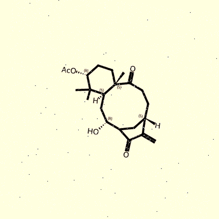 C=C1C(=O)C2C[C@@H]1CCC(=O)[C@@]1(C)CC[C@@H](OC(C)=O)C(C)(C)[C@@H]1C[C@H]2O